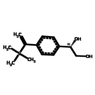 C=C(c1ccc([C@H](O)CO)cc1)[Si](C)(C)C